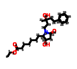 CCOC(=O)CCCCCCC1C(O)CC(=O)N1CCC(C)(O)CCc1ccccc1